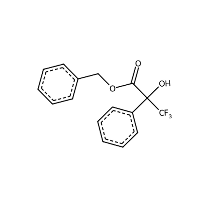 O=C(OCc1ccccc1)C(O)(c1ccccc1)C(F)(F)F